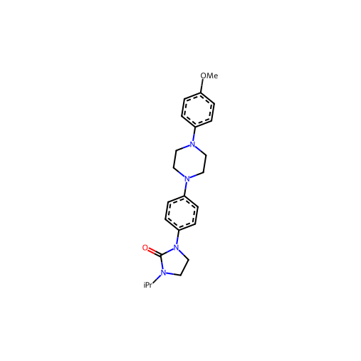 COc1ccc(N2CCN(c3ccc(N4CCN(C(C)C)C4=O)cc3)CC2)cc1